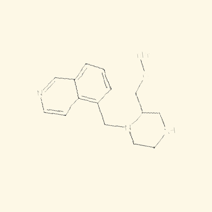 CCCOCC1CNCCN1Cc1cccc2cnccc12